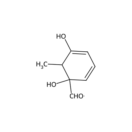 CC1C(O)=CC=CC1(O)[C]=O